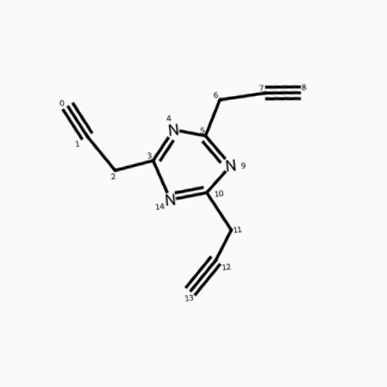 C#CCc1nc(CC#C)nc(CC#C)n1